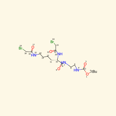 CC(C)(C)OC(=O)NCCNC(=O)[C@H](CCCCNC(=O)CBr)NC(=O)CBr